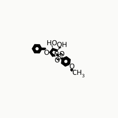 CCOc1ccc(S(=O)(=O)N2C[C@H](OCc3ccccc3)[C@H](CO)[C@@H]2CO)cc1